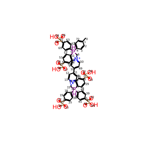 Cc1ccc([PH](C[n+]2ccc(-c3cc[n+](C[PH](c4ccc(S(=O)(=O)O)cc4)(c4ccc(S(=O)(=O)O)cc4)c4ccc(S(=O)(=O)O)cc4)cc3)cc2)(c2ccc(S(=O)(=O)O)cc2)c2ccc(S(=O)(=O)O)cc2)cc1